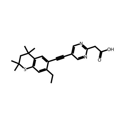 CCc1cc2c(cc1C#Cc1cnc(CC(=O)O)nc1)C(C)(C)CC(C)(C)S2